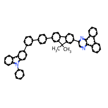 CC1(C)c2cc(-c3ccc(-c4cccc(-c5ccc6c(c5)c5ccccc5n6-c5ccccc5)c4)cc3)ccc2-c2ccc(-c3cnc4c5ccccc5c5ccccc5c4n3)cc21